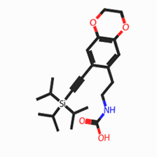 CC(C)[Si](C#Cc1cc2c(cc1CCNC(=O)O)OCCO2)(C(C)C)C(C)C